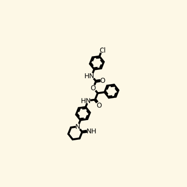 N=C1CCCCN1c1ccc(NC(=O)C(OC(=O)Nc2ccc(Cl)cc2)c2ccccc2)cc1